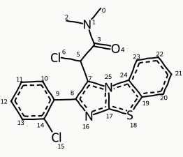 CN(C)C(=O)C(Cl)c1c(-c2ccccc2Cl)nc2sc3ccccc3n12